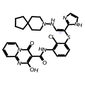 O=C(Nc1cccc(S/C(=C/NN2CCC3(CCCC3)CC2)c2ncc[nH]2)c1Cl)c1c(O)nc2ccccn2c1=O